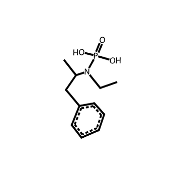 CCN(C(C)Cc1ccccc1)P(=O)(O)O